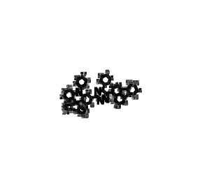 c1ccc(-c2nc(-c3ccc4c(c3)N(c3ccccc3)c3ccccc3C43c4ccccc4-c4ccccc43)nnc2-c2ccc3c4c(cccc24)-c2ccccc2-3)cc1